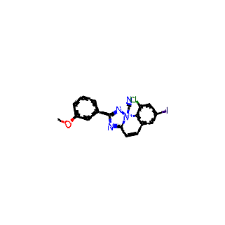 COc1cccc(C2=N[N+]3(C#N)C(=N2)C=Cc2cc(I)cc(Cl)c23)c1